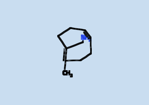 C/C1=C(/CN)CC/C=C\CC1